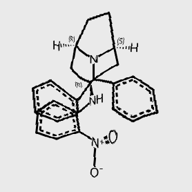 O=[N+]([O-])c1ccccc1N[C@H]1C[C@H]2CC[C@@H](C1)N2C(c1ccccc1)c1ccccc1